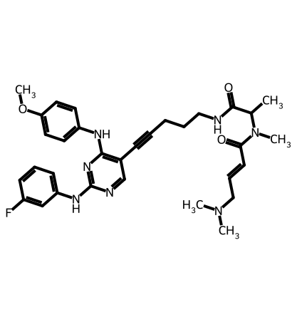 COc1ccc(Nc2nc(Nc3cccc(F)c3)ncc2C#CCCCNC(=O)C(C)N(C)C(=O)C=CCN(C)C)cc1